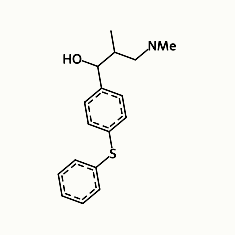 CNCC(C)C(O)c1ccc(Sc2ccccc2)cc1